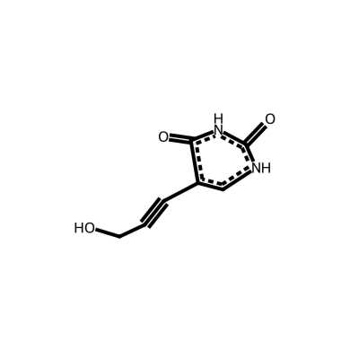 O=c1[nH]cc(C#CCO)c(=O)[nH]1